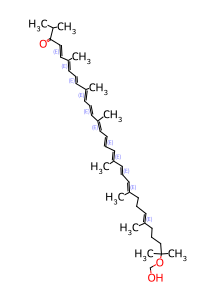 CC(/C=C/C=C(C)/C=C/C=C(C)/C=C/C(=O)C(C)C)=C\C=C\C=C(C)\C=C\C=C(/C)CC/C=C(\C)CCCC(C)(C)OCO